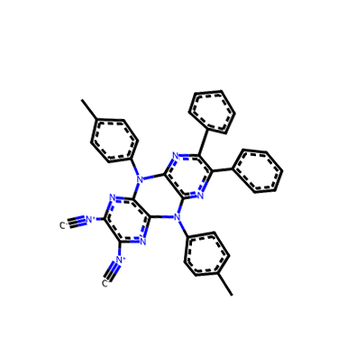 [C-]#[N+]c1nc2c(nc1[N+]#[C-])N(c1ccc(C)cc1)c1nc(-c3ccccc3)c(-c3ccccc3)nc1N2c1ccc(C)cc1